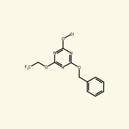 CCOc1nc(OCc2ccccc2)nc(OCC(F)(F)F)n1